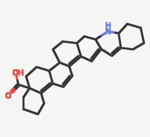 O=C(O)C12CCCCC1=C1C=CC3=C4C=C5C=C6CCCCC6NC5CC4CCC3C1CC2